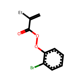 C=C(CC)C(=O)OOc1ccccc1Br